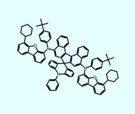 CC(C)(C)c1ccc(N(c2cc3c(c4ccccc24)-c2c(cc(N(c4ccc(C(C)(C)C)cc4)c4cccc5c4oc4c(C6CCCCC6)cccc45)c4ccccc24)C32c3ccccc3N(c3ccccc3)c3ccccc32)c2cccc3c2oc2c(C4CCCCC4)cccc23)cc1